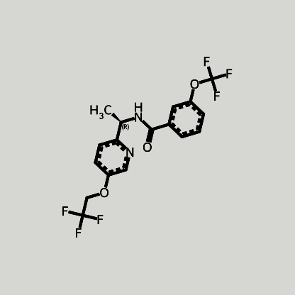 C[C@@H](NC(=O)c1cccc(OC(F)(F)F)c1)c1ccc(OCC(F)(F)F)cn1